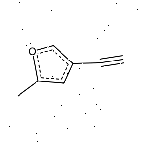 C#Cc1coc(C)c1